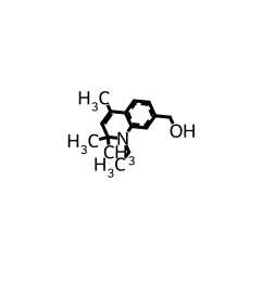 CCN1c2cc(CO)ccc2C(C)=CC1(C)C